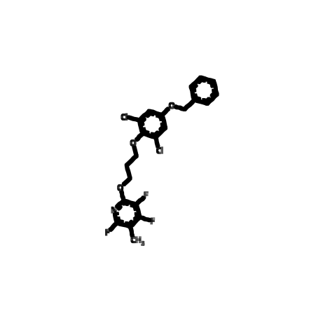 Cc1c(F)nc(OCCCOc2c(Cl)cc(OCc3ccccc3)cc2Cl)c(F)c1F